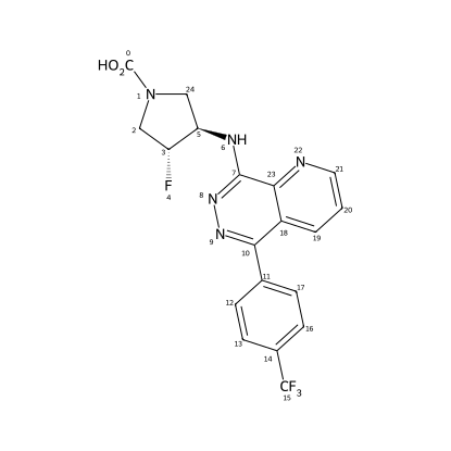 O=C(O)N1C[C@@H](F)[C@H](Nc2nnc(-c3ccc(C(F)(F)F)cc3)c3cccnc23)C1